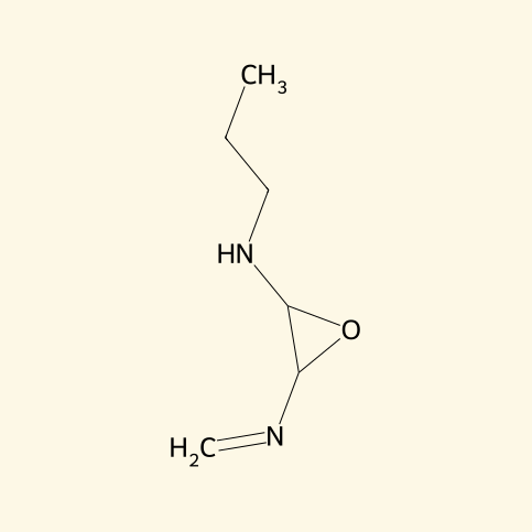 C=NC1OC1NCCC